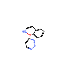 C1=Cc2ccccc2ON1.c1cnnnc1